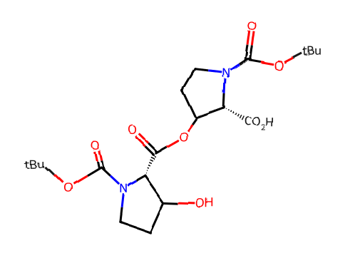 CC(C)(C)OC(=O)N1CCC(O)[C@H]1C(=O)OC1CCN(C(=O)OC(C)(C)C)[C@@H]1C(=O)O